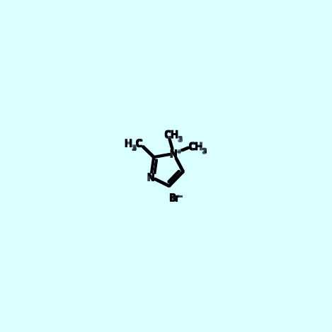 CC1=NC=C[N+]1(C)C.[Br-]